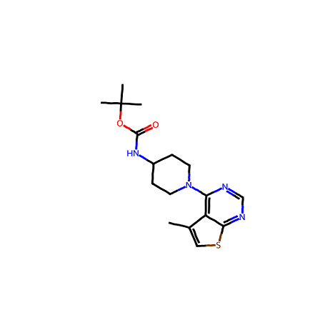 Cc1csc2ncnc(N3CCC(NC(=O)OC(C)(C)C)CC3)c12